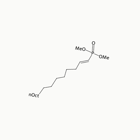 CCCCCCCCCCCCCCC=CP(=O)(OC)OC